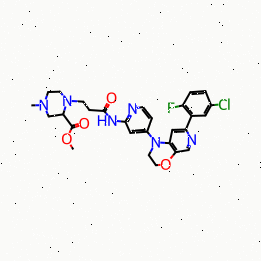 COC(=O)C1CN(C)CCN1CCC(=O)Nc1cc(N2CCOc3cnc(-c4cc(Cl)ccc4F)cc32)ccn1